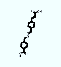 COC(=O)c1ccc(CON=Cc2ccc(/C=C/C(=O)O)cc2)cc1